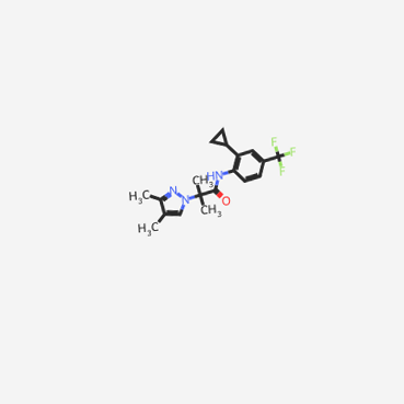 Cc1cn(C(C)(C)C(=O)Nc2ccc(C(F)(F)F)cc2C2CC2)nc1C